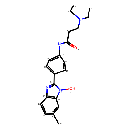 CCN(CC)CCC(=O)Nc1ccc(-c2nc3ccc(C)cc3n2O)cc1